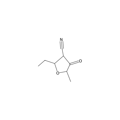 CCC1OC(C)C(=O)C1C#N